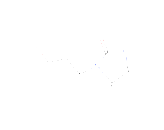 CC1CNC(=O)N1CCCO